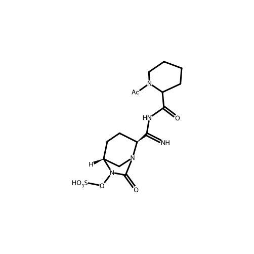 CC(=O)N1CCCCC1C(=O)NC(=N)[C@@H]1CC[C@@H]2CN1C(=O)N2OS(=O)(=O)O